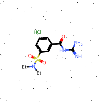 CCN(CC)S(=O)(=O)c1cccc(C(=O)NC(=N)N)c1.Cl